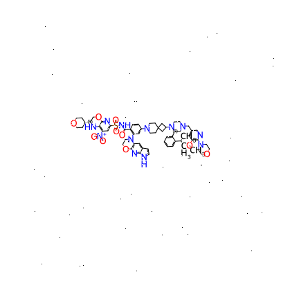 COc1cc(CN2CCN(C3CC4(CCN(c5ccc(C(=O)NS(=O)(=O)c6cc([N+](=O)[O-])c7c(n6)OC[C@@H](C6CCOCC6)N7)c(N6CCOc7nc8[nH]ccc8cc76)c5)CC4)C3)[C@H](c3ccccc3C(C)C)C2)cnc1N1CCOCC1